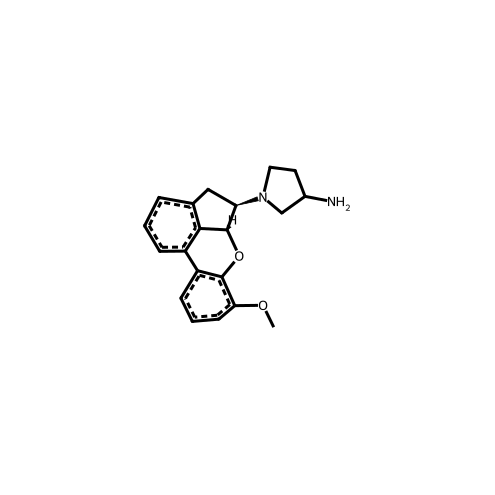 COc1cccc2c1O[C@@H]1c3c(cccc3-2)C[C@H]1N1CCC(N)C1